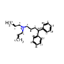 C=CCN(CC=C)CCCC(c1ccccc1)c1ccccc1